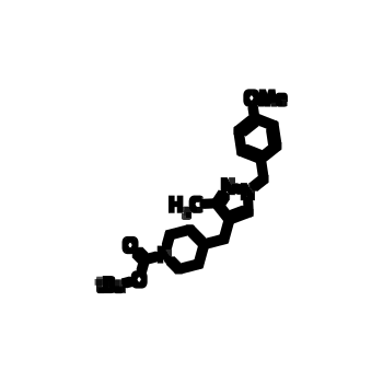 COc1ccc(Cn2cc(CC3CCN(C(=O)OC(C)(C)C)CC3)c(C)n2)cc1